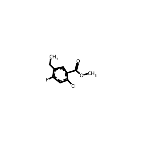 CCc1cc(C(=O)OC)c(Cl)cc1F